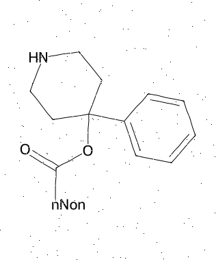 CCCCCCCCCC(=O)OC1(c2ccccc2)CCNCC1